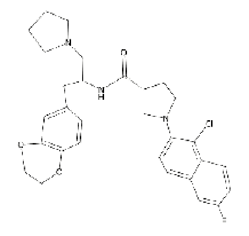 O=C(NC(Cc1ccc2c(c1)OCCO2)CN1CCCC1)[C@@H]1CCN(c2ccc3cc(F)ccc3c2Cl)C1